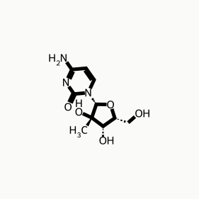 C[C@]1(O)[C@@H](O)[C@@H](CO)O[C@H]1n1ccc(N)nc1=O